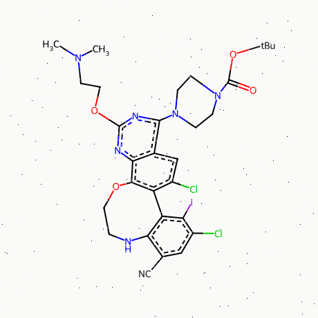 CN(C)CCOc1nc(N2CCN(C(=O)OC(C)(C)C)CC2)c2cc(Cl)c3c(c2n1)OCCNc1c(C#N)cc(Cl)c(I)c1-3